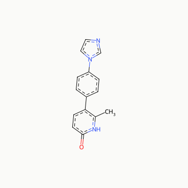 Cc1[nH]c(=O)ccc1-c1ccc(-n2ccnc2)cc1